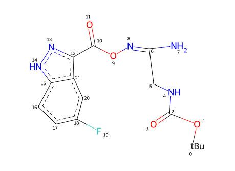 CC(C)(C)OC(=O)NC/C(N)=N\OC(=O)c1n[nH]c2ccc(F)cc12